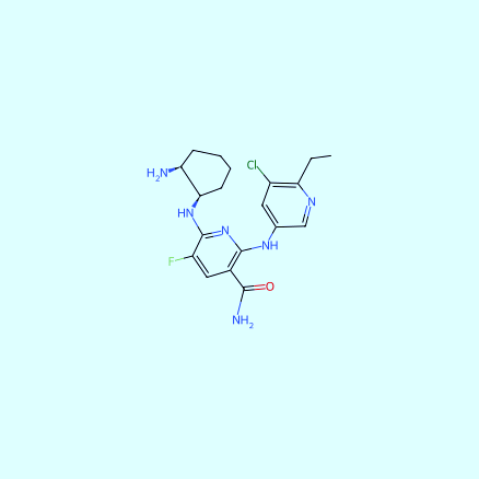 CCc1ncc(Nc2nc(N[C@@H]3CCCC[C@@H]3N)c(F)cc2C(N)=O)cc1Cl